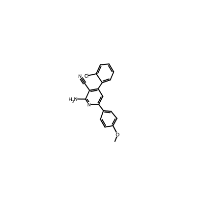 COc1ccc(-c2cc(-c3ccccc3Cl)c(C#N)c(N)n2)cc1